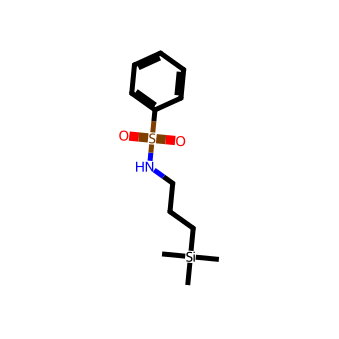 C[Si](C)(C)CCCNS(=O)(=O)c1ccccc1